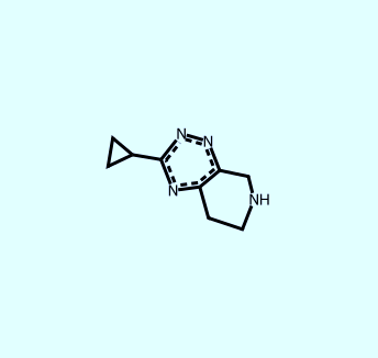 C1Cc2nc(C3CC3)nnc2CN1